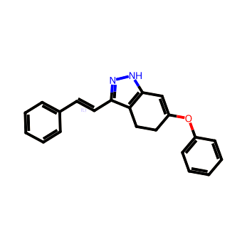 C1=C(Oc2ccccc2)CCc2c(/C=C/c3ccccc3)n[nH]c21